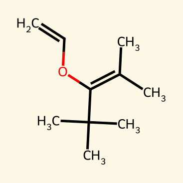 C=COC(=C(C)C)C(C)(C)C